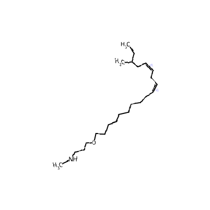 CCC(C)C/C=C\C/C=C\CCCCCCCCCOCCCNC